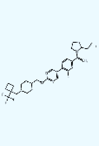 C=C(c1ccc(-c2cnc(OCC3CCN(CC4(C(F)(F)F)CCC4)CC3)nc2)c(F)c1)N1CCCC1CC